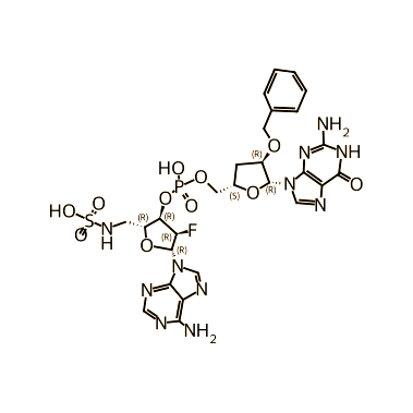 Nc1nc2c(ncn2[C@@H]2O[C@H](COP(=O)(O)O[C@H]3[C@@H](F)[C@H](n4cnc5c(N)ncnc54)O[C@@H]3CNS(=O)(=O)O)C[C@H]2OCc2ccccc2)c(=O)[nH]1